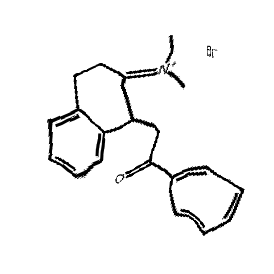 C[N+](C)=C1CCc2ccccc2C1CC(=O)c1ccccc1.[Br-]